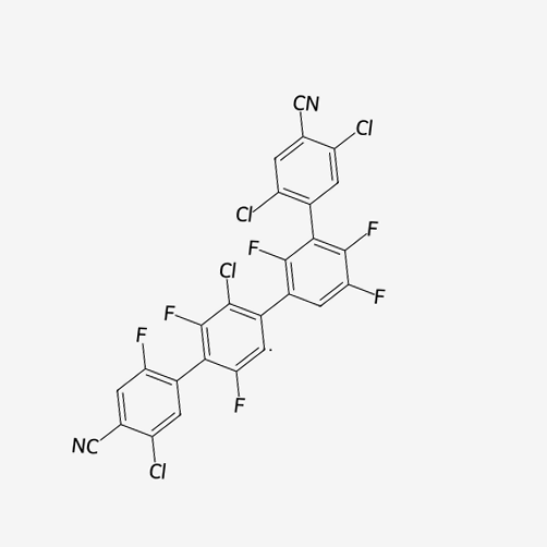 N#Cc1cc(F)c(-c2c(F)[c]c(-c3cc(F)c(F)c(-c4cc(Cl)c(C#N)cc4Cl)c3F)c(Cl)c2F)cc1Cl